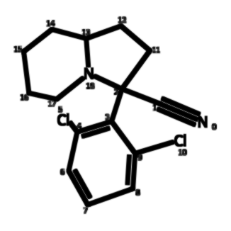 N#CC1(c2c(Cl)cccc2Cl)CCC2CCCCN21